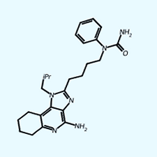 CC(C)Cn1c(CCCCN(C(N)=O)c2ccccc2)nc2c(N)nc3c(c21)CCCC3